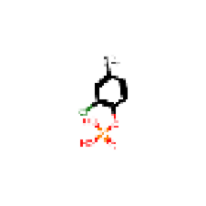 O=[N+]([O-])c1ccc(OP(=O)(O)O)c(Cl)c1